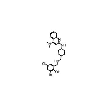 CN(C)c1cc(NC2CCC(CNCc3cc(Cl)cc(Br)c3O)CC2)nc2ccccc12